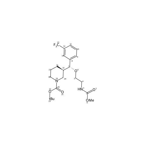 COC(=O)NCCO[C@@H](c1cccc(C(F)(F)F)c1)[C@@H]1CCCN(C(=O)OC(C)(C)C)C1